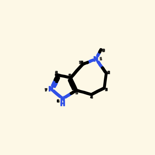 CN1CCCc2[nH]n[c]c2C1